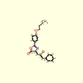 CCCCOc1ccc(C2=N/C(=C\C(Br)=C\c3ccccc3)C(=O)O2)cc1